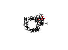 C=C(C)C(=O)OCN1CCCC2C(=O)N(O)CC(=O)N3NCCCC3C(=O)N3CCC(C)(O)C3C(=O)N(O)C(C(C)C)C(=O)OC(C(C)C)C(NC(=O)C(C)(O)C3(O)CCC(CC(C)C)C(CC)O3)C(=O)N21